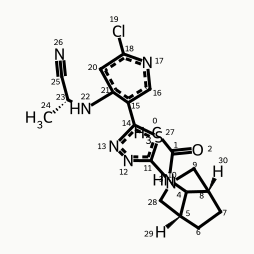 CC(=O)NC1[C@@H]2CC[C@H]1CN(c1nnc(-c3cnc(Cl)cc3N[C@H](C)C#N)s1)C2